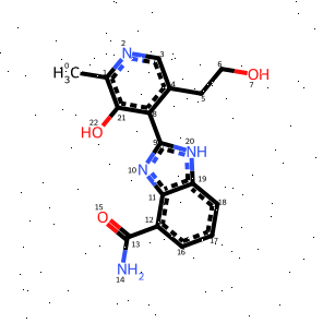 Cc1ncc(CCO)c(-c2nc3c(C(N)=O)cccc3[nH]2)c1O